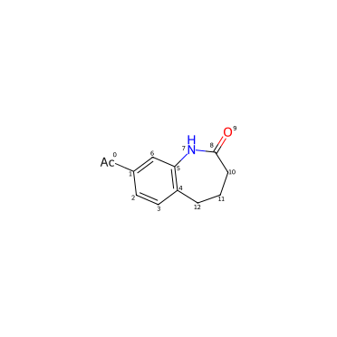 CC(=O)c1ccc2c(c1)NC(=O)CCC2